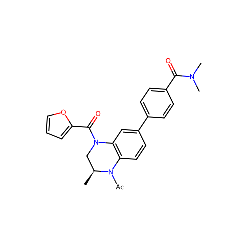 CC(=O)N1c2ccc(-c3ccc(C(=O)N(C)C)cc3)cc2N(C(=O)c2ccco2)C[C@@H]1C